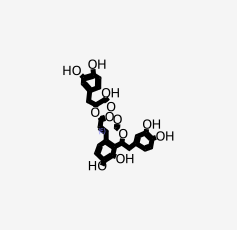 O=COC(Cc1ccc(O)c(O)c1)c1c(/C=C/C(=O)OC(Cc2ccc(O)c(O)c2)C(=O)O)ccc(O)c1O